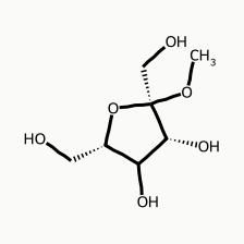 CO[C@]1(CO)O[C@@H](CO)C(O)[C@H]1O